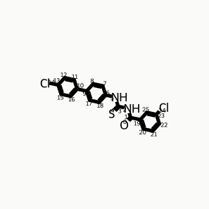 O=C(NC(=S)Nc1ccc(-c2ccc(Cl)cc2)cc1)c1cccc(Cl)c1